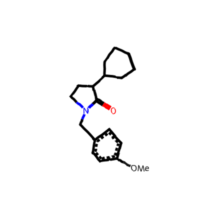 COc1ccc(CN2CCC(C3CCCCC3)C2=O)cc1